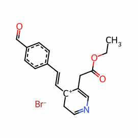 CCOC(=O)CC1=CN=CC[C+]1C=Cc1ccc(C=O)cc1.[Br-]